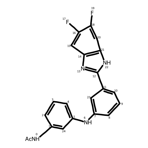 CC(=O)Nc1cccc(Nc2cccc(-c3nc4cc(F)c(F)cc4[nH]3)c2)c1